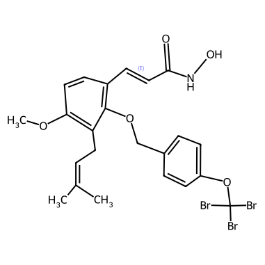 COc1ccc(/C=C/C(=O)NO)c(OCc2ccc(OC(Br)(Br)Br)cc2)c1CC=C(C)C